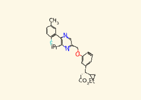 CCOC(=O)C[C@H](c1cccc(OCc2cnc(-c3cc(C)ccc3F)c(C(C)C)n2)c1)C1CC1